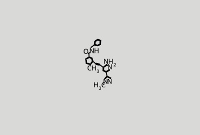 Cc1ccc(C(=O)NCc2ccccc2)cc1C#Cc1cc(-c2cnn(C)c2)cnc1N